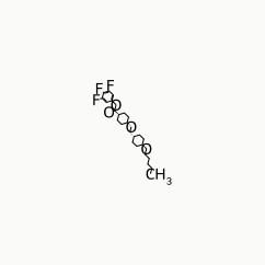 CCCCCO[C@H]1CC[C@H](CO[C@H]2CC[C@H](C(=O)Oc3cc(F)c(F)c(F)c3)CC2)CC1